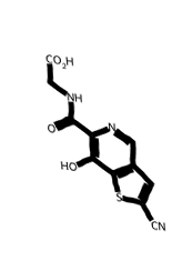 N#Cc1cc2cnc(C(=O)NCC(=O)O)c(O)c2s1